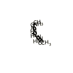 CCc1nc2ncc(CN3CCN(c4ccc(C(=O)NC)nc4)[C@@H]4C[C@@H]43)cc2[nH]c1=O